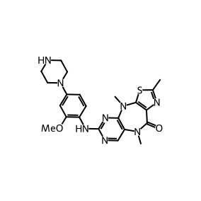 COc1cc(N2CCNCC2)ccc1Nc1ncc2c(n1)N(C)c1sc(C)nc1C(=O)N2C